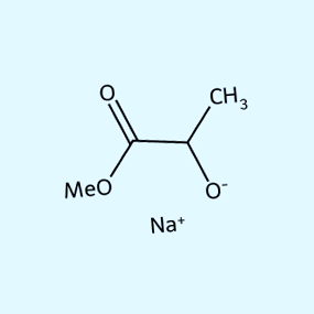 COC(=O)C(C)[O-].[Na+]